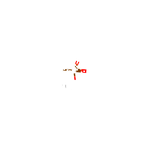 O=S(=O)(O)S.[AlH3]